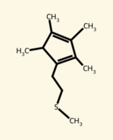 CSCCC1=C(C)C(C)=C(C)C1C